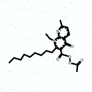 CCCCCCCCCc1c(C(=O)OOC(C)=O)c(=O)c2ccc(C)nc2n1CC